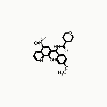 COc1ccc(C(NC(=O)C2CCOCC2)c2cc([N+](=O)[O-])c3cccnc3c2O)cc1